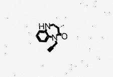 C#CCN1C(=O)[C@@H](C)CNc2ccccc21